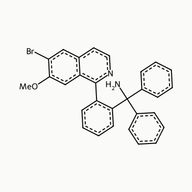 COc1cc2c(-c3ccccc3C(N)(c3ccccc3)c3ccccc3)nccc2cc1Br